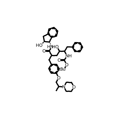 CC(COc1ccc(CC(CC(O)C(Cc2ccccc2)NC(=O)OC(C)(C)C)C(=O)N[C@H]2c3ccccc3C[C@@H]2O)cc1)N1CCOCC1